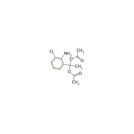 CC(=O)OC(C)(OC(C)=O)c1cccc(Cl)c1N